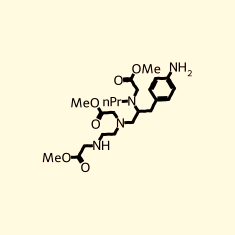 CCCN(CC(=O)OC)C(Cc1ccc(N)cc1)CN(CCNCC(=O)OC)CC(=O)OC